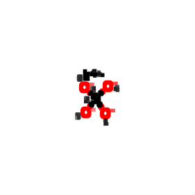 [Ir+4].[O-][Si]([O-])([O-])[O-]